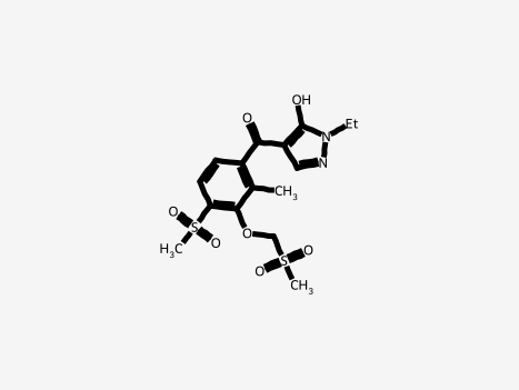 CCn1ncc(C(=O)c2ccc(S(C)(=O)=O)c(OCS(C)(=O)=O)c2C)c1O